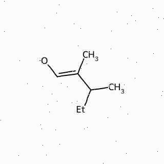 CCC(C)C(C)=C[O]